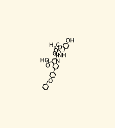 COC(=O)[C@H](Cc1ccc(O)cc1)NC(=O)c1cc(C(=O)O)c2cc(-c3ccc(OCc4ccccc4)cc3)ccc2n1